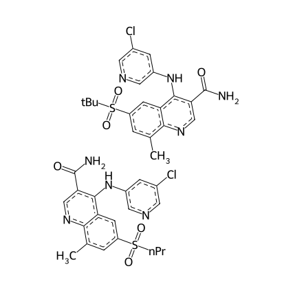 CCCS(=O)(=O)c1cc(C)c2ncc(C(N)=O)c(Nc3cncc(Cl)c3)c2c1.Cc1cc(S(=O)(=O)C(C)(C)C)cc2c(Nc3cncc(Cl)c3)c(C(N)=O)cnc12